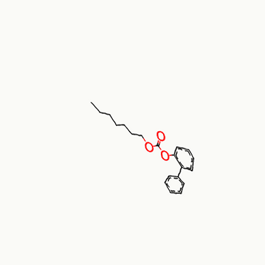 CCCCCCCOC(=O)Oc1ccccc1-c1ccccc1